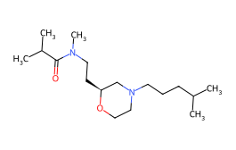 CC(C)CCCN1CCO[C@@H](CCN(C)C(=O)C(C)C)C1